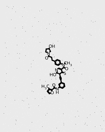 Cc1ccoc1C(=O)Nc1cccc(C#CC2C(=S)C(C(=O)N(C)c3ccc(CCC(=O)N4CCC(O)C4)cc3)=CN=C2O)c1